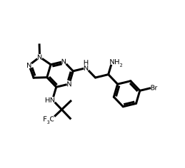 Cn1ncc2c(NC(C)(C)C(F)(F)F)nc(NCC(N)c3cccc(Br)c3)nc21